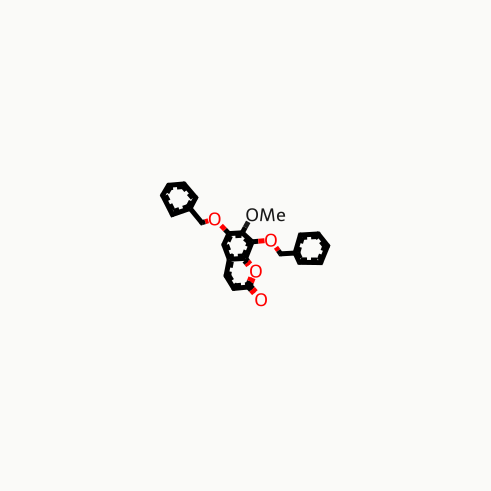 COc1c(OCc2ccccc2)cc2ccc(=O)oc2c1OCc1ccccc1